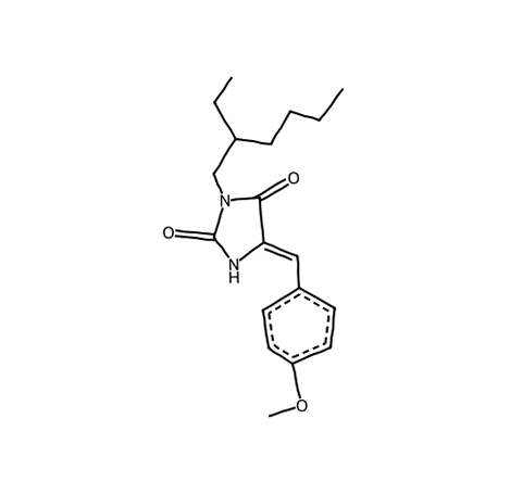 CCCCC(CC)CN1C(=O)N/C(=C\c2ccc(OC)cc2)C1=O